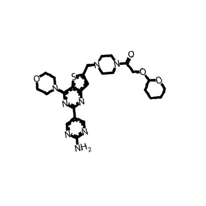 Nc1ncc(-c2nc(N3CCOCC3)c3sc(CN4CCN(C(=O)COC5CCCCO5)CC4)cc3n2)cn1